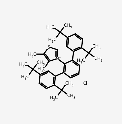 Cc1sc[n+](-c2c(-c3cc(C(C)(C)C)ccc3C(C)(C)C)cccc2-c2cc(C(C)(C)C)ccc2C(C)(C)C)c1C.[Cl-]